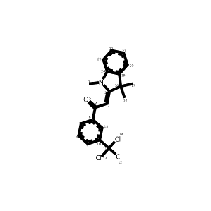 CN1C(=CC(=O)c2cccc(C(Cl)(Cl)Cl)c2)C(C)(C)c2ccccc21